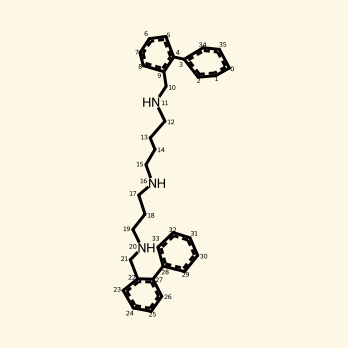 c1ccc(-c2ccccc2CNCCCCNCCCNCc2ccccc2-c2ccccc2)cc1